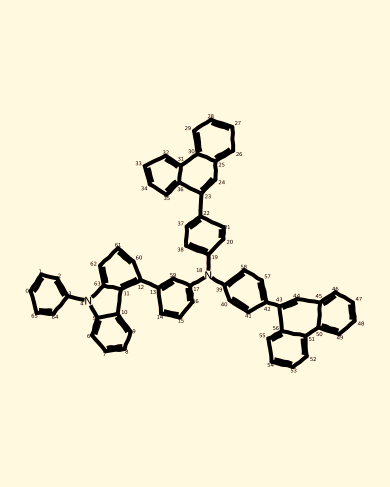 c1ccc(-n2c3ccccc3c3c(-c4cccc(N(c5ccc(-c6cc7ccccc7c7ccccc67)cc5)c5ccc(-c6cc7ccccc7c7ccccc67)cc5)c4)cccc32)cc1